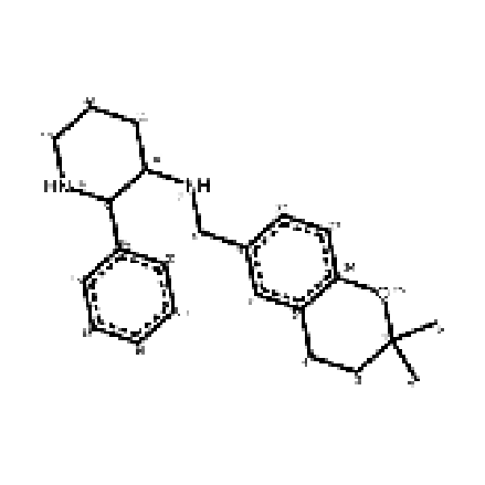 CC1(C)CCc2cc(CNC3CCCNC3c3ccccc3)ccc2O1